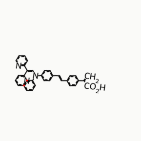 C=C(C(=O)O)c1ccc(C=Cc2ccc(N(C=C(c3ccccn3)c3ccccn3)c3ccccc3)cc2)cc1